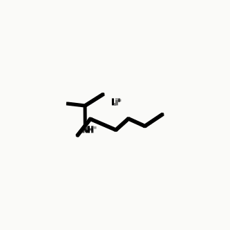 CC(C)[NH-].CCCCCC.[Li+]